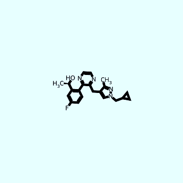 Cc1nn(CC2CC2)cc1Cc1nccnc1-c1ccc(F)cc1[C@@H](C)O